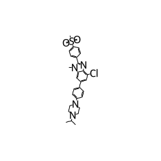 CC(C)N1CCN(c2ccc(-c3cc(Cl)c4nc(-c5ccc(S(C)(=O)=O)cc5)n(C)c4c3)cc2)CC1